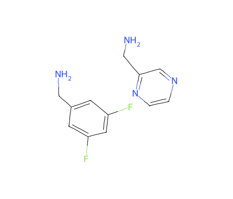 NCc1cc(F)cc(F)c1.NCc1cnccn1